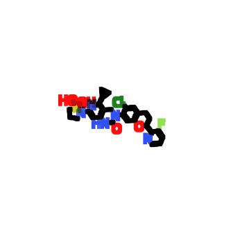 O=C1Nc2cc(N3CCCS3(O)O)nc(C3CC3)c2CN1c1cc2c(cc1Cl)CCC(c1ncccc1F)O2